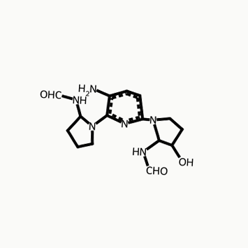 Nc1ccc(N2CCC(O)C2NC=O)nc1N1CCCC1NC=O